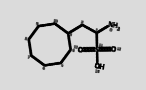 NC(CC1CCCCCCC1)S(=O)(=O)O